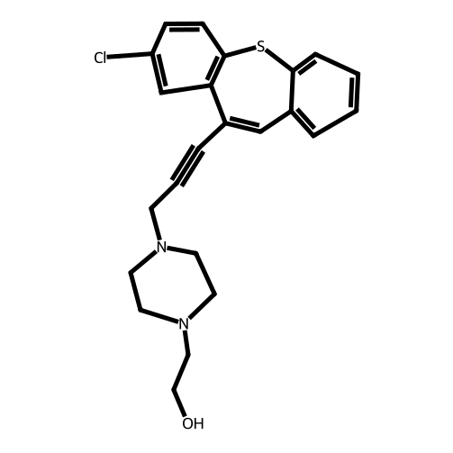 OCCN1CCN(CC#CC2=Cc3ccccc3Sc3ccc(Cl)cc32)CC1